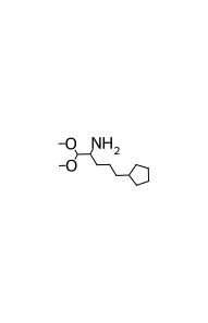 COC(OC)C(N)CCCC1CCCC1